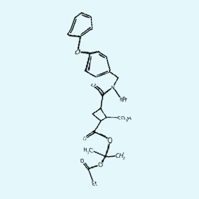 CCCN(Cc1ccc(Oc2ccccc2)cc1)C(=O)C1CC(C(=O)OC(C)(C)OC(=O)CC)C1C(=O)O